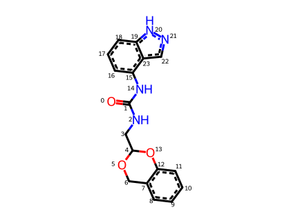 O=C(NCC1OCc2ccccc2O1)Nc1cccc2[nH]ncc12